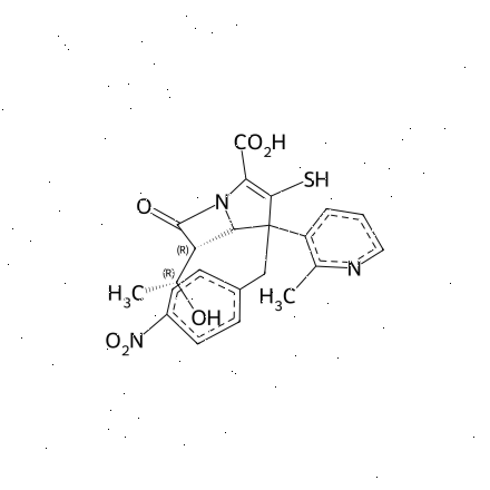 Cc1ncccc1C1(Cc2ccc([N+](=O)[O-])cc2)C(S)=C(C(=O)O)N2C(=O)[C@@H]([C@@H](C)O)C21